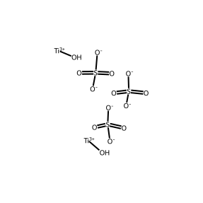 O=S(=O)([O-])[O-].O=S(=O)([O-])[O-].O=S(=O)([O-])[O-].[OH][Ti+3].[OH][Ti+3]